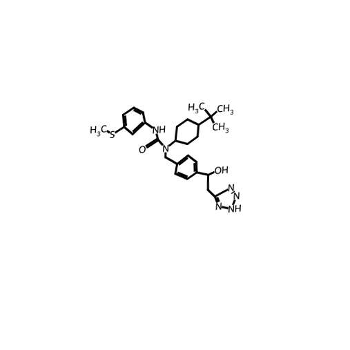 CSc1cccc(NC(=O)N(Cc2ccc(C(O)Cc3nn[nH]n3)cc2)C2CCC(C(C)(C)C)CC2)c1